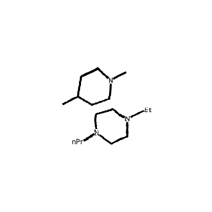 CC1CCN(C)CC1.[CH2]CCN1CCN(CC)CC1